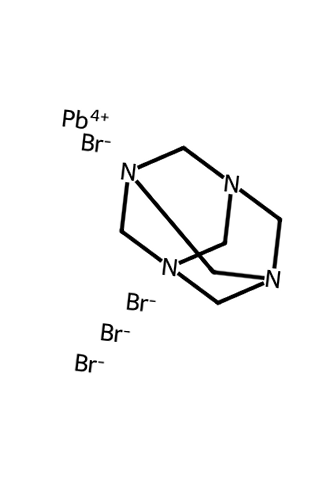 C1N2CN3CN1CN(C2)C3.[Br-].[Br-].[Br-].[Br-].[Pb+4]